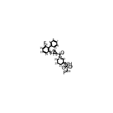 O=C([C@H]1C[C@@H]1c1ccccc1-c1c(F)cccc1F)N1CCC[C@H](NS(=O)(=O)CF)C1